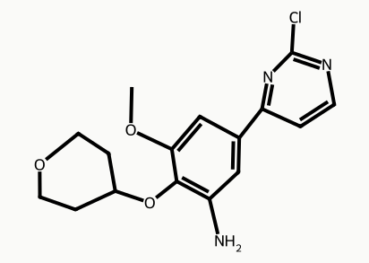 COc1cc(-c2ccnc(Cl)n2)cc(N)c1OC1CCOCC1